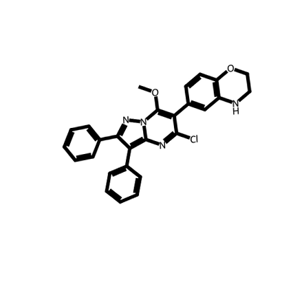 COc1c(-c2ccc3c(c2)NCCO3)c(Cl)nc2c(-c3ccccc3)c(-c3ccccc3)nn12